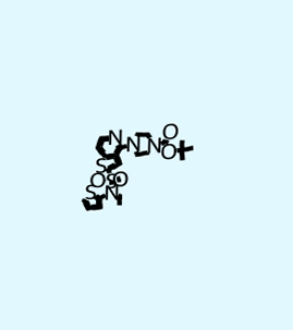 CCN(c1cccs1)S(=O)(=O)c1cc2c(N3CCN(C(=O)OC(C)(C)C)CC3)nccc2s1